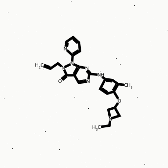 C=CCn1c(=O)c2cnc(Nc3ccc(OC4CN(CC)C4)c(C)c3)nc2n1-c1ccccn1